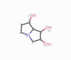 OC1CN2CCC(O)C2C1O